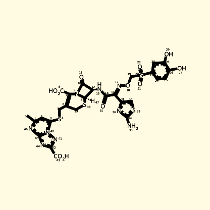 Cc1cc(SCC2=C(C(=O)O)N3C(=O)[C@@H](NC(=O)C(=NOCS(=O)(=O)c4ccc(O)c(O)c4)c4csc(N)n4)[C@H]3SC2)n2nc(C(=O)O)nc2n1